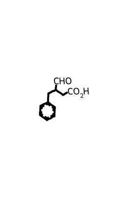 O=CC(CC(=O)O)Cc1ccccc1